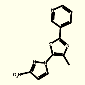 Cc1nc(-c2cccnc2)sc1-n1ccc([N+](=O)[O-])n1